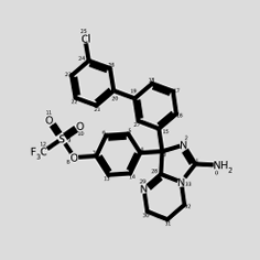 NC1=NC(c2ccc(OS(=O)(=O)C(F)(F)F)cc2)(c2cccc(-c3cccc(Cl)c3)c2)C2=NCCCN12